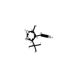 Cc1onc(C(C)(C)C)c1C#N